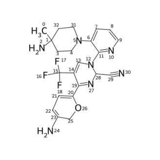 CC1(N)CCN(c2cccnc2N2C=C(C(F)(F)F)C(C3=CC=C(N)CO3)=NC2C#N)CC1